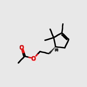 CC(=O)OCC[C@H]1CC=C(C)C1(C)C